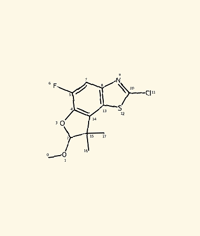 COC1Oc2c(F)cc3nc(Cl)sc3c2C1(C)C